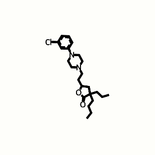 CCCCC1(CCC)CC(CCN2CCN(c3cccc(Cl)c3)CC2)OC1=O